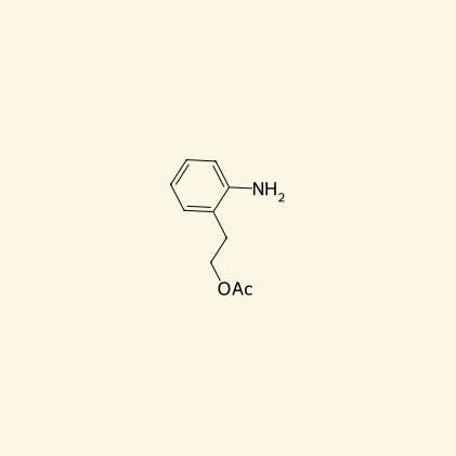 CC(=O)OCCc1ccccc1N